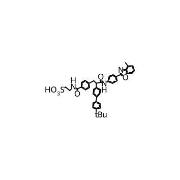 Cc1cccc2oc(-c3ccc(NC(=O)C(Cc4ccc(C(=O)NCCS(=O)(=O)O)cc4)c4ccc(-c5ccc(C(C)(C)C)cc5)cc4)cc3)nc12